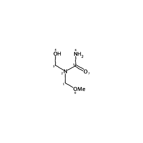 COCN(CO)C(N)=O